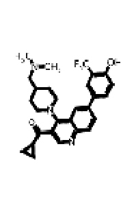 CN(C)CC1CCN(c2c(C(=O)C3CC3)cnc3ccc(-c4ccc(O)c(C(F)(F)F)c4)cc23)CC1